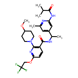 COC1CCN(c2nc(OCC(F)(F)F)ccc2C(=O)NC(C)c2cc(C)nc(NC(=O)C(C)C)c2)CC1